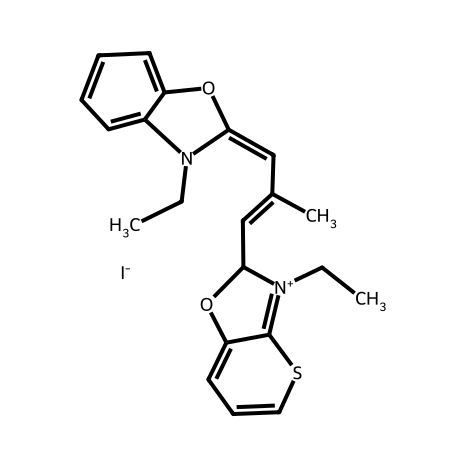 CCN1C(=CC(C)=CC2OC3=CC=CSC3=[N+]2CC)Oc2ccccc21.[I-]